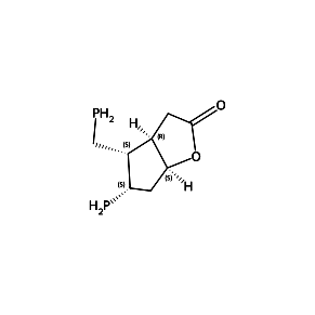 O=C1C[C@@H]2[C@@H](CP)[C@@H](P)C[C@@H]2O1